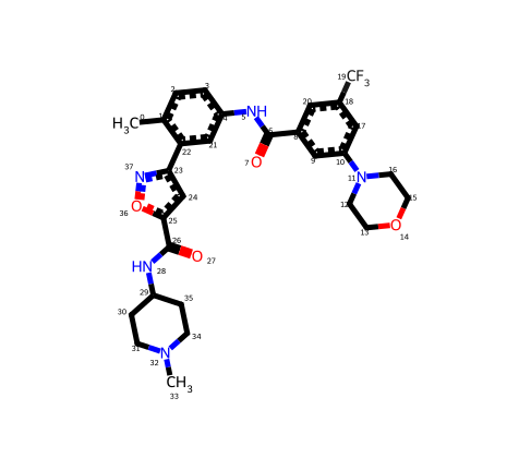 Cc1ccc(NC(=O)c2cc(N3CCOCC3)cc(C(F)(F)F)c2)cc1-c1cc(C(=O)NC2CCN(C)CC2)on1